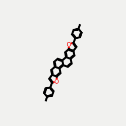 Cc1ccc(-c2cc3cc4ccc5c6cc7oc(-c8ccc(C)cc8)cc7cc6ccc5c4cc3o2)cc1